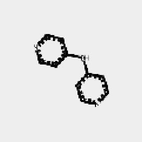 B(c1ccncc1)c1ccncc1